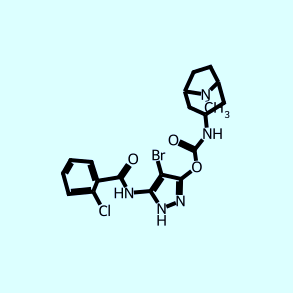 CN1C2CCC1CC(NC(=O)Oc1n[nH]c(NC(=O)c3ccccc3Cl)c1Br)C2